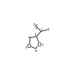 CC([S])C1COCO1